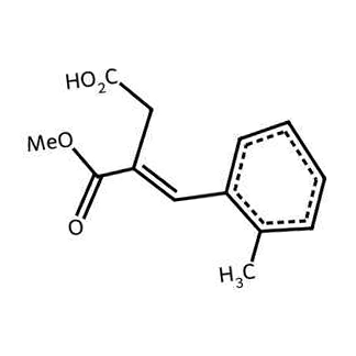 COC(=O)/C(=C/c1ccccc1C)CC(=O)O